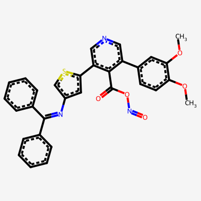 COc1ccc(-c2cncc(-c3cc(N=C(c4ccccc4)c4ccccc4)cs3)c2C(=O)ON=O)cc1OC